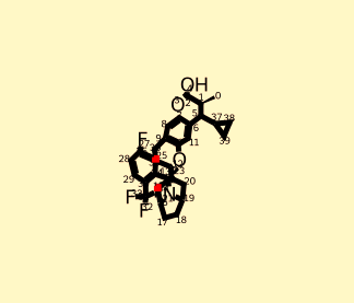 C[C@H](C(=O)O)C(c1ccc2c(c1)OC(C1CC3CCC(C1)N3[C@H](C)c1cc(F)ccc1C(F)(F)F)CC2)C1CC1